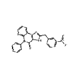 O=c1c2[nH]c(Cc3cccc([N+](=O)[O-])c3)nc2c2cccnc2n1-c1ccccc1